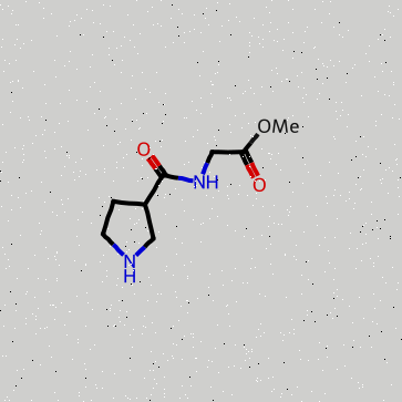 COC(=O)CNC(=O)C1CCNC1